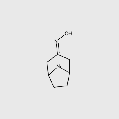 ON=C1CC2CCC(C1)[N]2